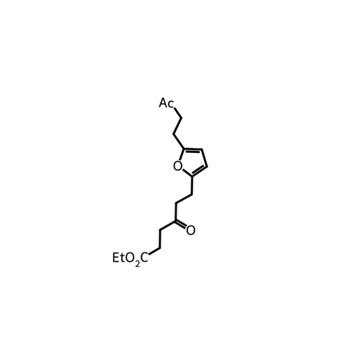 CCOC(=O)CCC(=O)CCc1ccc(CCC(C)=O)o1